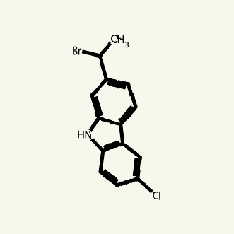 CC(Br)c1ccc2c(c1)[nH]c1ccc(Cl)cc12